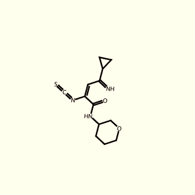 N=C(/C=C(/N=C=S)C(=O)NC1CCCOC1)C1CC1